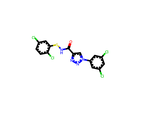 O=C(NSc1cc(Cl)ccc1Cl)c1cn(-c2cc(Cl)cc(Cl)c2)nn1